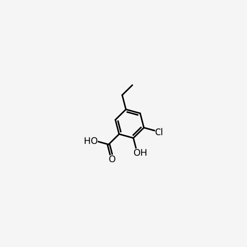 CCc1cc(Cl)c(O)c(C(=O)O)c1